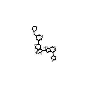 c1cc(-c2cncc3[nH]c(-c4n[nH]c5cnc(-c6cncc(CN7CCCC7)c6)cc45)cc23)cs1